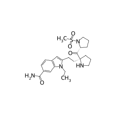 CCn1c(CC[C@]2(C(=O)[C@H]3CCCN3S(C)(=O)=O)CCCN2)cc2ccc(C(N)=O)cc21